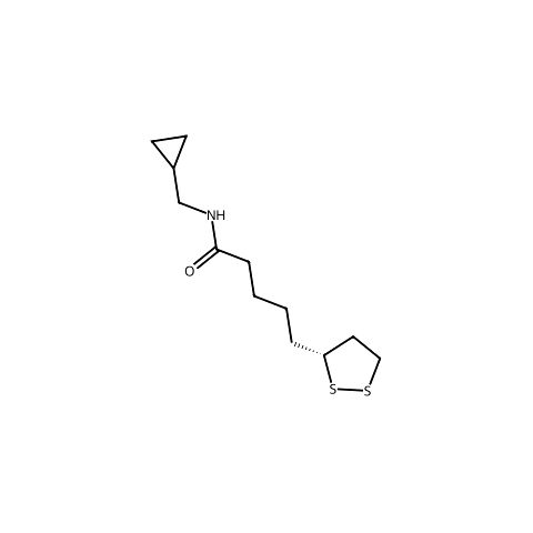 O=C(CCCC[C@@H]1CCSS1)NCC1CC1